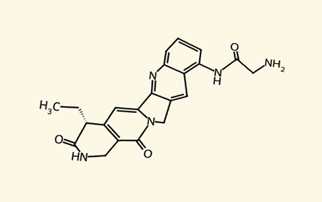 CC[C@H]1C(=O)NCc2c1cc1n(c2=O)Cc2cc3c(NC(=O)CN)cccc3nc2-1